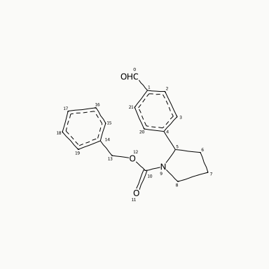 O=Cc1ccc(C2CCCN2C(=O)OCc2ccccc2)cc1